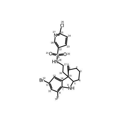 C=C1CCCC2Nc3c(F)cc(Br)cc3C12CCNS(=O)(=O)c1ccc(Cl)nc1